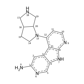 Nc1cc2c(cn1)[nH]c1nccc(N3CCC4CNCC43)c12